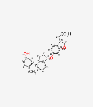 Cc1ccc(O)cc1-c1cccc2c1CC[C@H]2Oc1ccc2c(c1)OCC2CC(=O)O